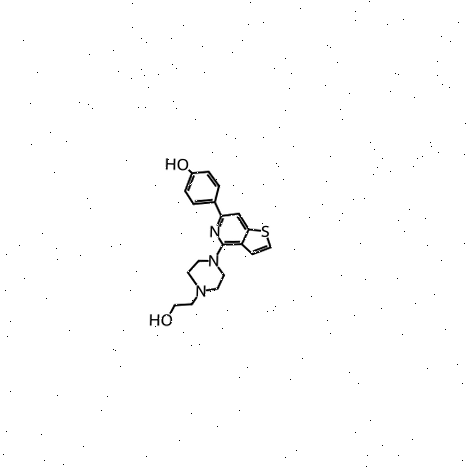 OCCN1CCN(c2nc(-c3ccc(O)cc3)cc3sccc23)CC1